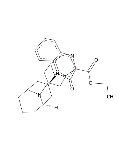 CCOC(=O)c1nc2ccccc2n([C@@H]2CC3CCC[C@H](C2)N3C2CC3CCCC(C3)C2)c1=O